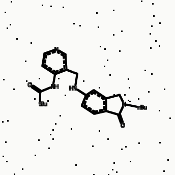 CCCCN1Cc2cc(NCc3cnccc3NC(=O)C(C)(C)C)ccc2C1=O